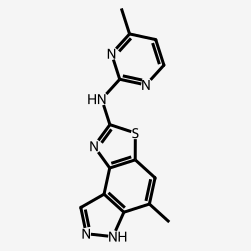 Cc1ccnc(Nc2nc3c(cc(C)c4[nH]ncc43)s2)n1